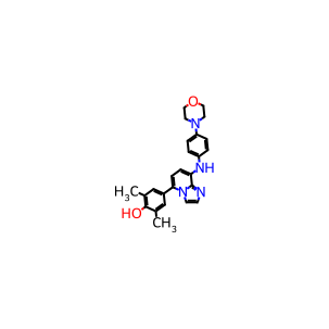 Cc1cc(-c2ccc(Nc3ccc(N4CCOCC4)cc3)c3nccn23)cc(C)c1O